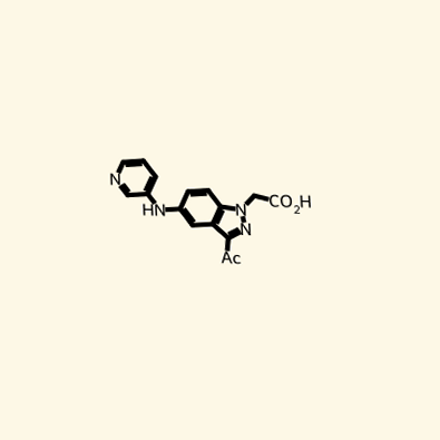 CC(=O)c1nn(CC(=O)O)c2ccc(Nc3cccnc3)cc12